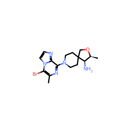 Cc1nc(N2CCC3(CC2)CO[C@@H](C)[C@H]3N)c2nccn2c1Br